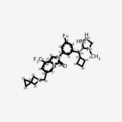 CN1CNNC1[C@H](c1cc(F)cc(-n2cc3c(C(F)(F)F)cc(CN4CC5(CC5)C4)cn3c2=O)c1)C1CCC1